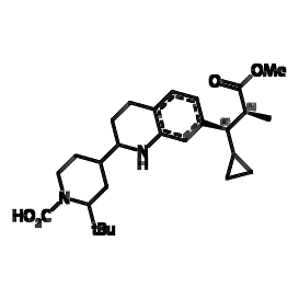 COC(=O)[C@@H](C)[C@H](c1ccc2c(c1)NC(C1CCN(C(=O)O)C(C(C)(C)C)C1)CC2)C1CC1